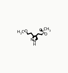 COCCc1n[nH]cc1CCS(C)(=O)=O